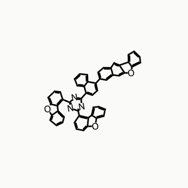 c1ccc2c(c1)oc1cc3cc(-c4ccc(-c5nc(-c6cccc7oc8ccccc8c67)nc(-c6cccc7oc8ccccc8c67)n5)c5ccccc45)ccc3cc12